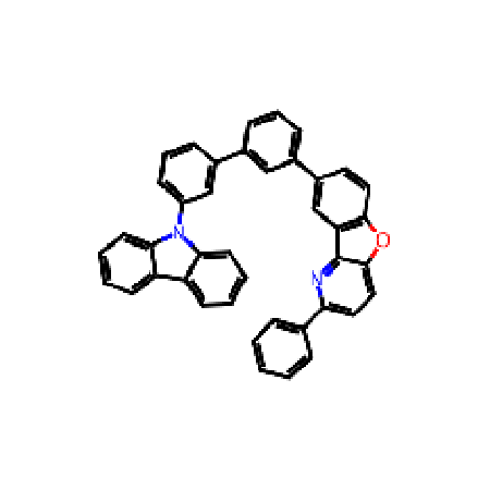 c1ccc(-c2ccc3oc4ccc(-c5cccc(-c6cccc(-n7c8ccccc8c8ccccc87)c6)c5)cc4c3n2)cc1